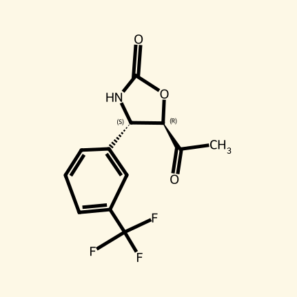 CC(=O)[C@@H]1OC(=O)N[C@H]1c1cccc(C(F)(F)F)c1